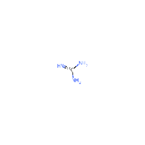 N=[14C](N)N